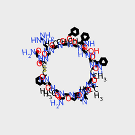 CC(C)C[C@@H]1NC(=O)[C@H](Cc2cnc[nH]2)NC(=O)[C@@H]2CCCN2C(=O)[C@H](CC(N)=O)NC(=O)[C@H](C)N(C)C(=O)[C@H](Cc2ccccc2)NC(=O)CSC[C@@H](C(=O)NCC(N)=O)NC(=O)[C@H](CCCNC(=N)N)NC(=O)[C@H](C)N(C)C(=O)[C@H](COCc2ccccc2)N(C)C(=O)[C@H](Cc2c[nH]c3ccccc23)NC(=O)[C@H](CO)NC(=O)[C@H](Cc2c[nH]c3ccccc23)NC(=O)CN(C)C1=O